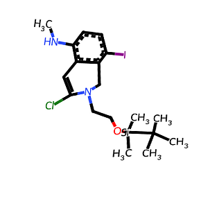 CNc1ccc(I)c2c1C=C(Cl)N(CCO[Si](C)(C)C(C)(C)C)C2